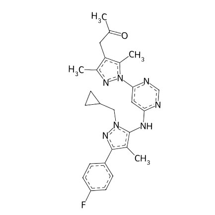 CC(=O)Cc1c(C)nn(-c2cc(Nc3c(C)c(-c4ccc(F)cc4)nn3CC3CC3)ncn2)c1C